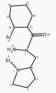 CCN1CCCC1CN(N)C(=O)C1CCCCC1C(C)=O